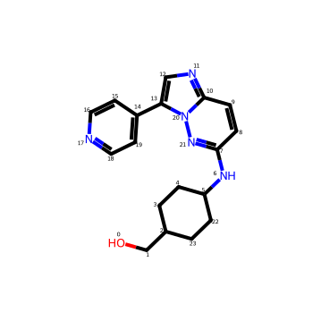 OCC1CCC(Nc2ccc3ncc(-c4ccncc4)n3n2)CC1